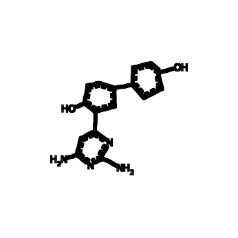 Nc1cc(-c2cc(-c3ccc(O)cc3)ccc2O)nc(N)n1